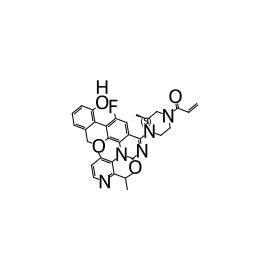 C=CC(=O)N1CCN(c2nc(=O)n(-c3c(C)ccnc3C(C)C)c3c4c(c(F)cc23)-c2c(O)cccc2CO4)[C@@H](C)C1